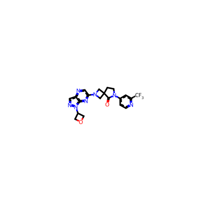 O=C1N(c2ccnc(C(F)(F)F)c2)CCC12CN(c1cnc3cnn(C4COC4)c3n1)C2